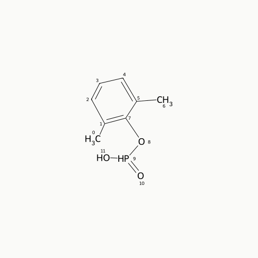 Cc1cccc(C)c1O[PH](=O)O